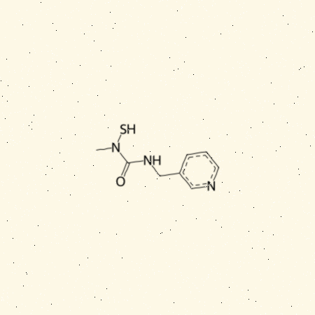 CN(S)C(=O)NCc1cccnc1